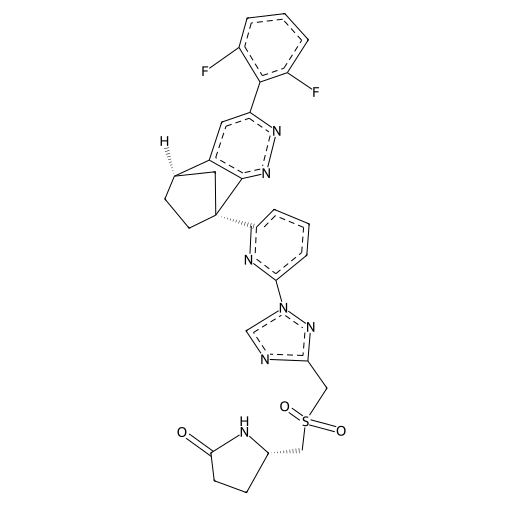 O=C1CC[C@@H](CS(=O)(=O)Cc2ncn(-c3cccc([C@]45CC[C@H](C4)c4cc(-c6c(F)cccc6F)nnc45)n3)n2)N1